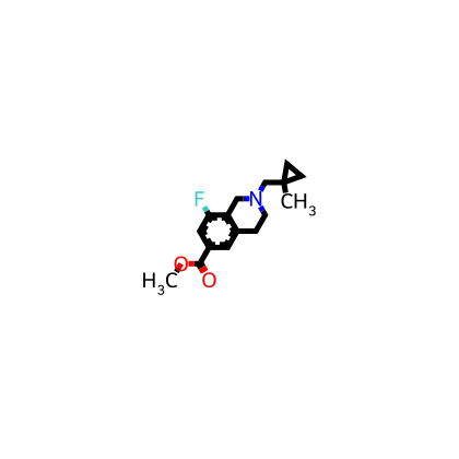 COC(=O)c1cc(F)c2c(c1)CCN(CC1(C)CC1)C2